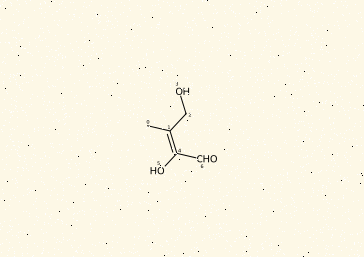 CC(CO)=C(O)C=O